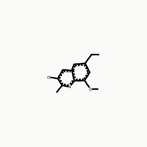 CCc1cc(OC)c2nc(C)c(Cl)cc2c1